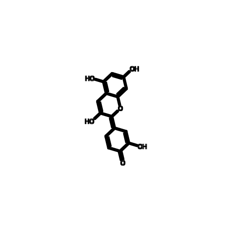 O=C1C=C/C(=C2/Oc3cc(O)cc(O)c3C=C2O)C=C1O